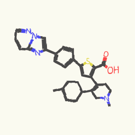 CC1CCC(C2=C(c3cc(-c4ccc(-c5cn6ncccc6n5)cc4)sc3C(=O)O)CCN(C)C2)CC1